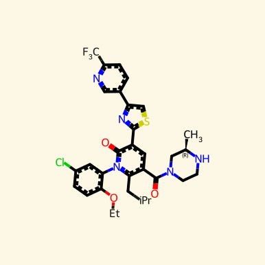 CCOc1ccc(Cl)cc1-n1c(CC(C)C)c(C(=O)N2CCN[C@H](C)C2)cc(-c2nc(-c3ccc(C(F)(F)F)nc3)cs2)c1=O